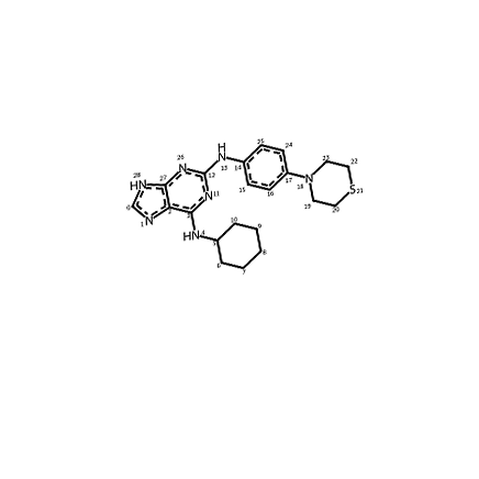 c1nc2c(NC3CCCCC3)nc(Nc3ccc(N4CCSCC4)cc3)nc2[nH]1